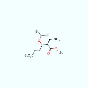 CCOC(=O)/C=C/[C@@H](OC(CC)CC)[C@@H](C[N+](=O)[O-])C(=O)OC(C)(C)C